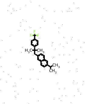 CC(C)c1ccc2cc(CC(C)(C)c3ccc(C(F)(F)F)cc3)ccc2c1